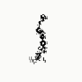 CC(C)(C)c1cc(NC(=O)Nc2ccc(-c3cn4c(n3)sc3nc(OCCN5C[C@H]6OCC65)ccc34)cc2)no1